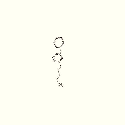 CCCCCc1ccc2c(c1)-c1ccccc1-2